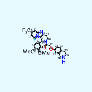 COc1cc(F)c(C2c3c(nc4cc(C(F)(F)F)ccn34)CCN2C(=O)COc2ccc3c(c2)CNCC3)cc1OC